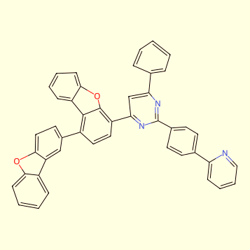 c1ccc(-c2cc(-c3ccc(-c4ccc5oc6ccccc6c5c4)c4c3oc3ccccc34)nc(-c3ccc(-c4ccccn4)cc3)n2)cc1